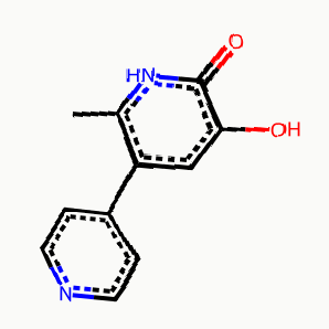 Cc1[nH]c(=O)c(O)cc1-c1ccncc1